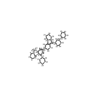 C[Si]1(C)c2ccccc2-c2c(-c3ccccc3)nc(-c3ccc4c(c3)c3ccccc3n4-c3cccc(-c4ccccc4)c3)nc21